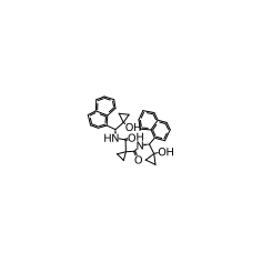 O=C(N[C@@H](c1cccc2ccccc12)C1(O)CC1)C1(C(=O)N[C@@H](c2cccc3ccccc23)C2(O)CC2)CC1